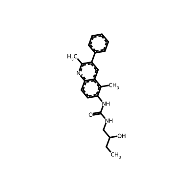 CCC(O)CNC(=O)Nc1ccc2nc(C)c(-c3ccccc3)cc2c1C